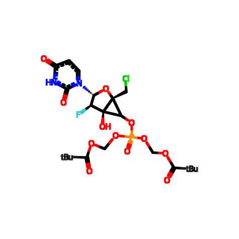 CC(C)(C)C(=O)OCOP(=O)(OCOC(=O)C(C)(C)C)OC1[C@@]2(CCl)O[C@@H](n3ccc(=O)[nH]c3=O)[C@H](F)[C@@]12O